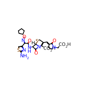 Nc1nc(/C(=N/OC2CCCC2)C(=O)N[C@@H]2C(=O)N3C(C(=O)O)=C(C=C4CCN(CC(=O)O)C4=O)CS[C@H]23)cs1